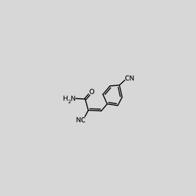 N#CC(=Cc1ccc(C#N)cc1)C(N)=O